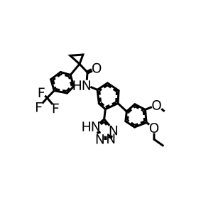 CCOc1ccc(-c2ccc(NC(=O)C3(c4ccc(C(F)(F)F)cc4)CC3)cc2-c2nnn[nH]2)cc1OC